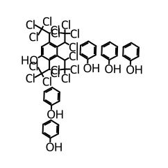 Oc1cc(C(Cl)C(Cl)(Cl)Cl)c(C(Cl)C(Cl)(Cl)Cl)c(C(Cl)C(Cl)(Cl)Cl)c1C(Cl)C(Cl)(Cl)Cl.Oc1ccccc1.Oc1ccccc1.Oc1ccccc1.Oc1ccccc1.Oc1ccccc1